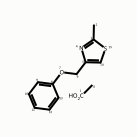 CC(=O)O.Cc1nc(COc2ccccc2)cs1